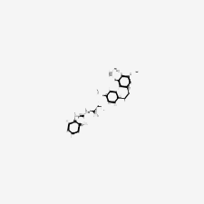 COc1ccc(/C=C\c2cc(OC)c(OC)c(OC)c2)cc1OCC(=O)Nc1nc2ccccc2s1